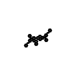 C(=Cc1ccc(N(c2ccccc2)c2cc3c4c5c(ccc4c2)CC(c2ccc(N(c4ccccc4)c4ccc(C=Cc6ccccc6)cc4)c4ccc6c7ccccc7ccc6c24)=CC5=CC3)cc1)c1ccccc1